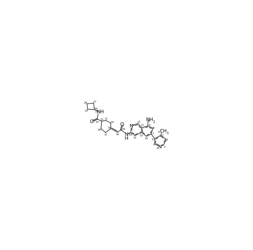 Cc1ccncc1-c1cc(N)c2cnc(NC(=O)C=C3CCC(C(=O)NC4CCC4)CC3)cc2c1